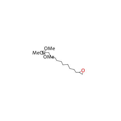 CO[Si](CCCCCCCCCCC1CO1)(OC)OC